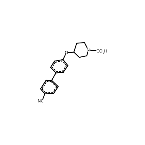 N#Cc1ccc(-c2ccc(OC3CCN(C(=O)O)CC3)cc2)cc1